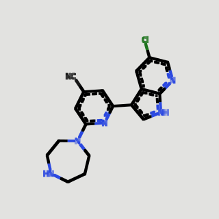 N#Cc1cc(-c2c[nH]c3ncc(Cl)cc23)nc(N2CCCNCC2)c1